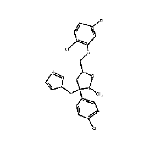 CN1OC(COc2cc(Cl)ccc2Cl)CC1(Cn1ccnc1)c1ccc(Cl)cc1